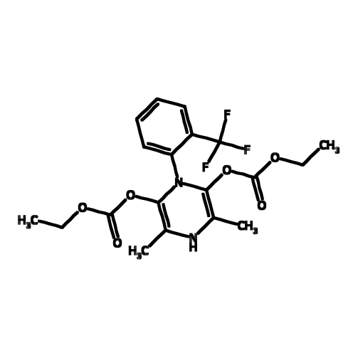 CCOC(=O)OC1=C(C)NC(C)=C(OC(=O)OCC)N1c1ccccc1C(F)(F)F